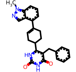 Cn1ncc2c(C3=CCC(c4[nH]c(=O)[nH]c(=O)c4Cc4ccccc4)CC3)cccc21